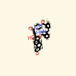 C[C@]12CCC(=O)C[C@@H]1CC[C@@H]1[C@@H]2CC[C@@]2(C)[C@H]1CC[C@@]2(O)C#CC(=O)N1CCN(C(=O)c2cc(Cc3n[nH]c(=O)c4ccccc34)ccc2F)CC1